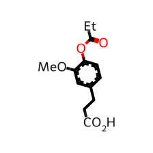 CCC(=O)Oc1ccc(CCC(=O)O)cc1OC